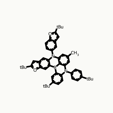 Cc1cc2c3c(c1)N(c1ccc4oc(C(C)(C)C)cc4c1)c1cc4cc(C(C)(C)C)oc4cc1B3c1cc(C(C)(C)C)ccc1N2c1ccc(C(C)(C)C)cc1